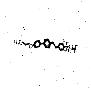 CCCCOc1ccc(-c2ccc(CCc3cc(F)c(C(F)(F)OC(F)(F)F)c(F)c3)cc2)cc1